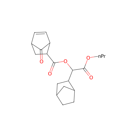 CCCOC(=O)C(OC(=O)C1CC2C=CC1C2=O)C1CC2CCC1C2